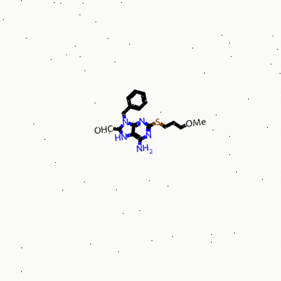 COCCCSc1nc(N)c2c(n1)N(Cc1ccccc1)C(C=O)N2